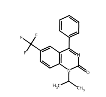 CC(C)n1c(=O)nc(-c2ccccc2)c2cc(C(F)(F)F)ccc21